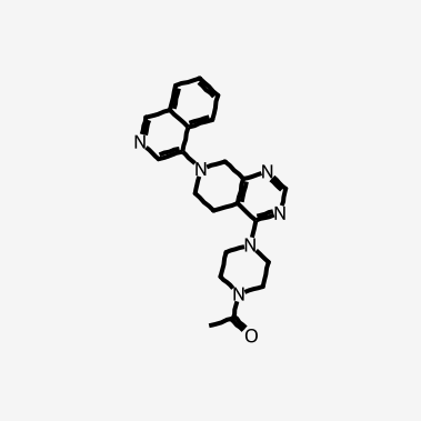 CC(=O)N1CCN(c2ncnc3c2CCN(c2cncc4ccccc24)C3)CC1